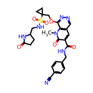 Cn1c(=O)c(C(=O)NCc2ccc(C#N)cc2)cc2cnnc(OCC3(S(=O)(=O)NCC4CCC(=O)N4)CC3)c21